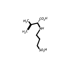 C=C(C)[C@@H](NCCCS(=O)(=O)O)C(=O)O